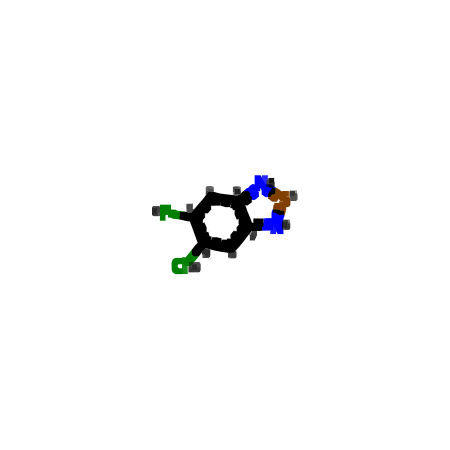 Fc1cc2nsnc2cc1Cl